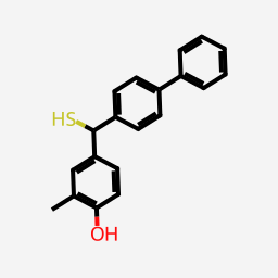 Cc1cc(C(S)c2ccc(-c3ccccc3)cc2)ccc1O